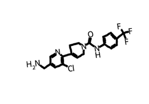 NCc1cnc(C2=CCN(C(=O)Nc3ccc(C(F)(F)F)cc3)CC2)c(Cl)c1